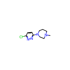 CN1CCCN(c2ccc(Cl)nn2)CC1